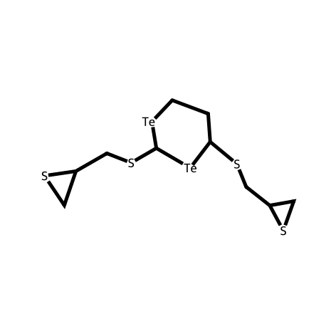 C1CC(SCC2CS2)[Te]C(SCC2CS2)[Te]1